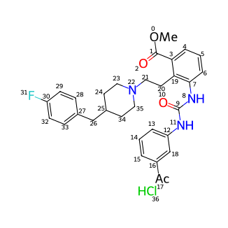 COC(=O)c1cccc(NC(=O)Nc2cccc(C(C)=O)c2)c1CCN1CCC(Cc2ccc(F)cc2)CC1.Cl